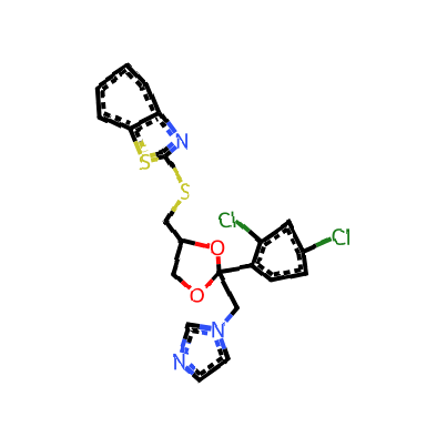 Clc1ccc(C2(Cn3ccnc3)OCC(CSc3nc4ccccc4s3)O2)c(Cl)c1